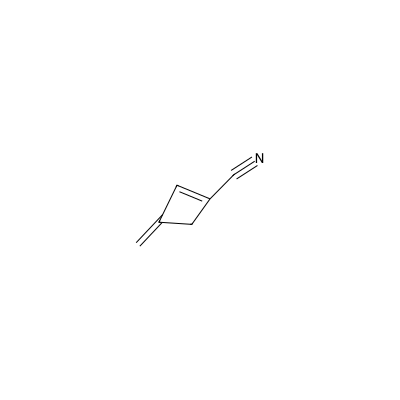 C=C1C=C(C#N)C1